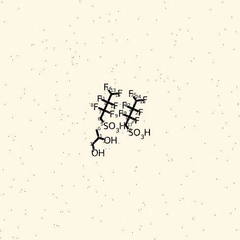 CC(O)CO.O=S(=O)(O)CC(F)(F)C(F)(F)C(F)F.O=S(=O)(O)CC(F)(F)C(F)(F)C(F)F